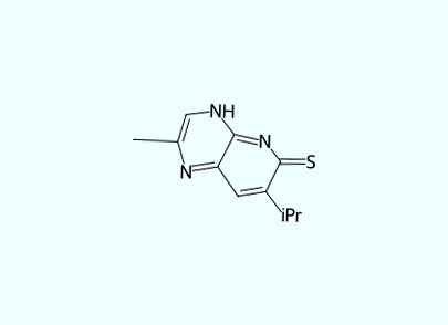 Cc1c[nH]c2nc(=S)c(C(C)C)cc-2n1